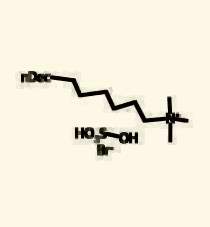 CCCCCCCCCCCCCCCC[N+](C)(C)C.O=S(=O)(O)O.[Br-]